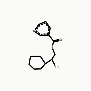 CC(COC(=O)c1cccnc1)C1CCCCC1